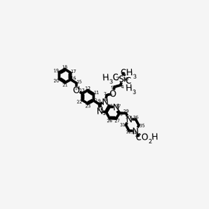 C[Si](C)(C)CCOCn1c(-c2ccc(OCc3ccccc3)cc2)nc2ccc(CN3CCN(C(=O)O)CC3)nc21